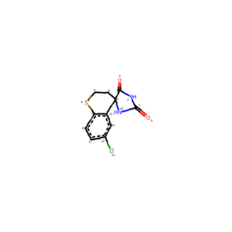 O=C1NC(=O)C2(CCSc3ccc(Cl)cc32)N1